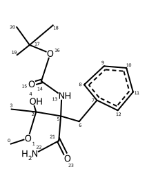 COC(C)(O)C(Cc1ccccc1)(NC(=O)OC(C)(C)C)C(N)=O